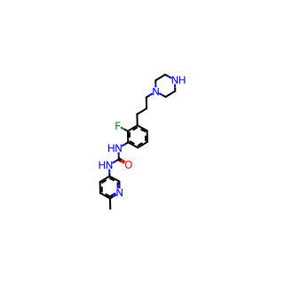 Cc1ccc(NC(=O)Nc2cccc(CCCN3CCNCC3)c2F)cn1